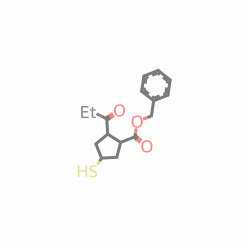 CCC(=O)C1CC(S)CC1C(=O)OCc1ccccc1